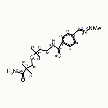 CN/N=C/c1ccc(C(=O)NCCC(C)(C)OCC(C)(C)C(N)=O)cc1